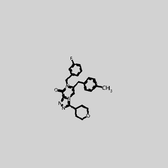 Cc1ccc(Cc2cn3c(C4CCOCC4)nnc3c(=O)n2Cc2cccc(F)c2)cc1